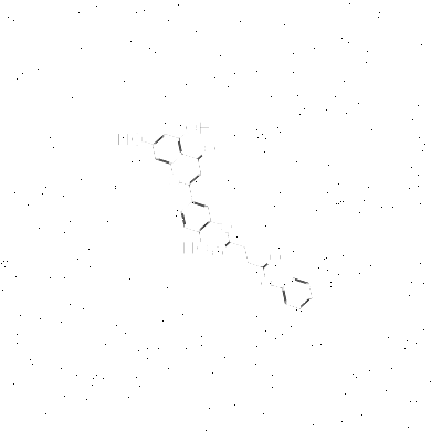 O=C(CCC(=O)Oc1cc(-c2cc(=O)c3c(O)cc(O)cc3o2)ccc1O)Oc1ccccc1